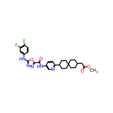 COC(=O)CC1CCC2(CC1)CCC(c1ccc(NC(=O)c3nnc(Nc4ccc(F)c(F)c4)o3)cn1)CC2